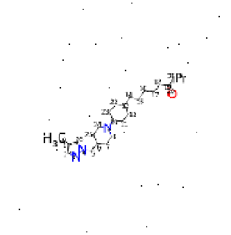 Cc1cnn(CC2CCN(C3CCC(CCCCCC(=O)C(C)C)CC3)CC2)c1